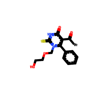 CC(C)C(=O)c1c(-c2ccccc2)n(COCCO)c(=S)[nH]c1=O